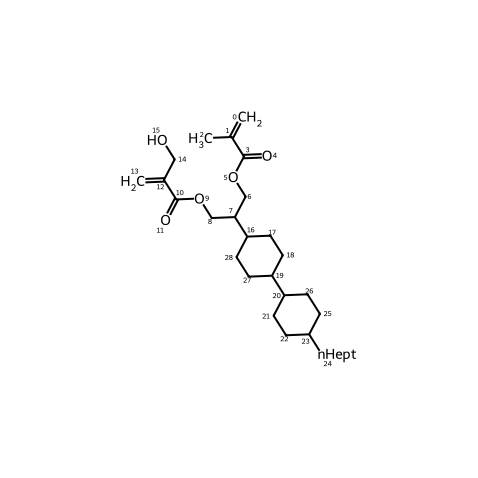 C=C(C)C(=O)OCC(COC(=O)C(=C)CO)C1CCC(C2CCC(CCCCCCC)CC2)CC1